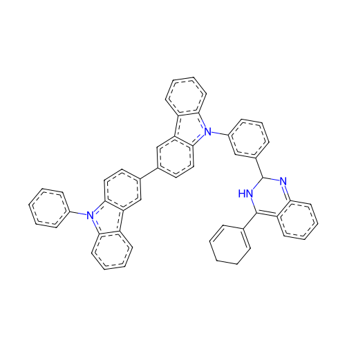 C1=CC(C2=c3ccccc3=NC(c3cccc(-n4c5ccccc5c5cc(-c6ccc7c(c6)c6ccccc6n7-c6ccccc6)ccc54)c3)N2)=CCC1